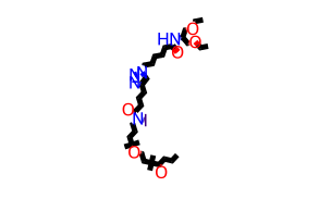 CCCC(=O)C(C)(C)CCOC(C)(C)CCCN(I)C(=O)CCCc1cn(CCCCCC(=O)NC(COCC)COCC)nn1